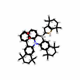 Cc1ccc2c(c1)N(c1cc3c(cc1-c1ccccc1)C(C)(C)CCC3(C)C)c1cc3c(cc1B2C1CC2=C(S1)C(C)(C)CCC2(C)C)C(C)(C)CCC3(C)C